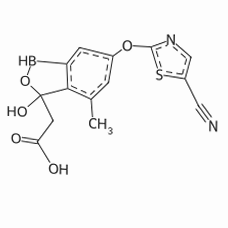 Cc1cc(Oc2ncc(C#N)s2)cc2c1C(O)(CC(=O)O)OB2